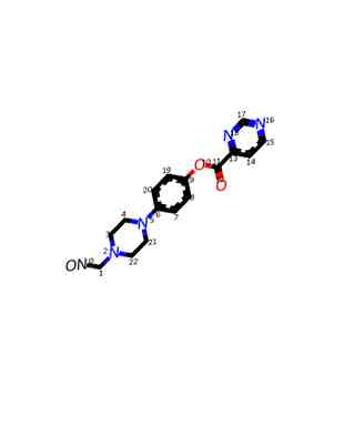 O=NCN1CCN(c2ccc(OC(=O)c3ccncn3)cc2)CC1